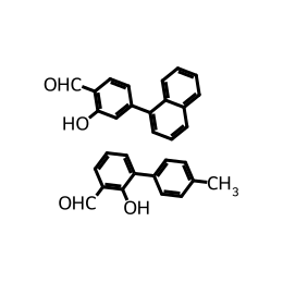 Cc1ccc(-c2cccc(C=O)c2O)cc1.O=Cc1ccc(-c2cccc3ccccc23)cc1O